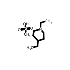 CCC1CCN(CC)CC1.CS(=O)(=O)O